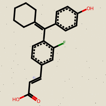 O=C(O)/C=C/c1ccc(C(=C2CCCCC2)c2ccc(O)cc2)c(F)c1